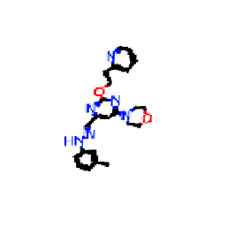 Cc1cccc(N/N=C/c2cc(N3CCOCC3)nc(OCCc3ccccn3)n2)c1